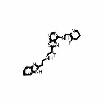 FC1=C(CNc2ncnc3sc([C@H](F)CNCCc4nc5ccccc5[nH]4)nc23)N=CCC1